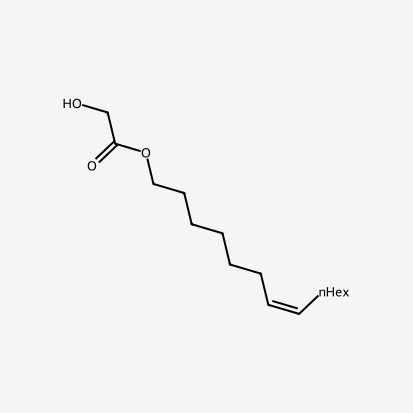 CCCCCC/C=C\CCCCCCOC(=O)CO